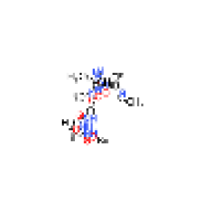 CC1CC(c2cc(N(CCC#N)C(=O)OCc3ccc(NC(=O)[C@H](C)NC(=O)[C@@H](NC(=O)OC(C)(C)C)C(C)C)cc3)nc(N3Cc4c(cc(CN5CCC[C@H](C)C5)cc4C(F)(F)F)C3=O)c2)(c2nncn2C)C1